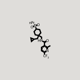 CCCS(=O)(=O)C1CCC(CNC(=O)c2ccc(C(F)(F)F)nc2C)(CC2CC2)CC1